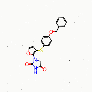 O=C1CN(c2occc2Sc2ccc(OCc3ccccc3)cc2)C(=O)N1